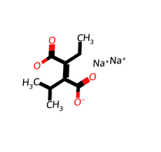 CCC(C(=O)[O-])=C(C(=O)[O-])C(C)C.[Na+].[Na+]